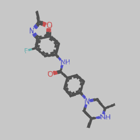 Cc1nc2c(F)cc(NC(=O)c3ccc(N4CC(C)NC(C)C4)cc3)cc2o1